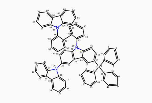 c1ccc([Si](c2ccccc2)(c2ccccc2)c2ccc3c(c2)c2cc(-n4c5ccccc5c5ccccc54)ccc2n3-c2ccccc2-c2ccccc2-n2c3ccccc3c3ccccc32)cc1